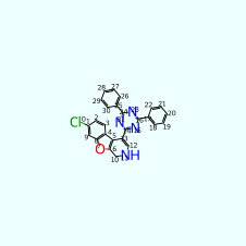 Clc1ccc2c3c(oc2c1)CNC=C3c1nc(-c2ccccc2)nc(-c2ccccc2)n1